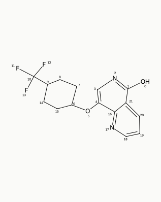 Oc1ncc(OC2CCC(C(F)(F)F)CC2)c2ncccc12